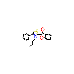 CCCCN1C(c2ccccc2)=CS/C1=C1/Oc2ccccc2C1=O